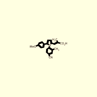 COc1ccc(-c2ccc(C=C(C)C(=O)O)n2-c2ccc(C#N)cc2C)cc1